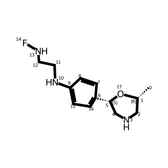 C[C@@H]1CNC[C@H](c2ccc(NCCNF)cc2)O1